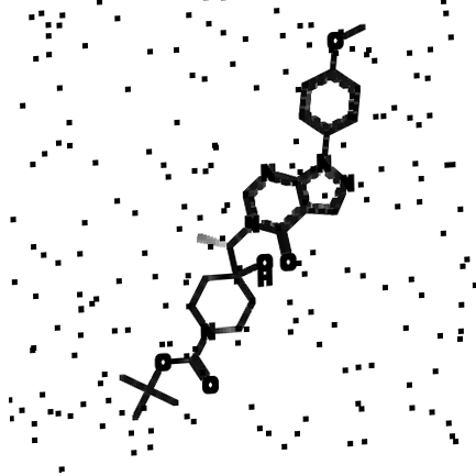 COc1ccc(-n2ncc3c(=O)n([C@@H](C)C4(O)CCN(C(=O)OC(C)(C)C)CC4)cnc32)cc1